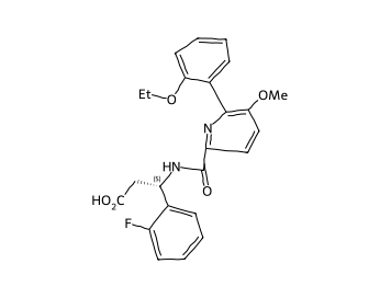 CCOc1ccccc1-c1nc(C(=O)N[C@@H](CC(=O)O)c2ccccc2F)ccc1OC